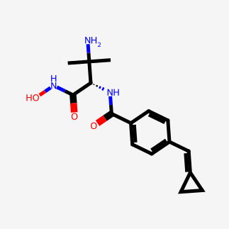 CC(C)(N)[C@H](NC(=O)c1ccc(C=C2CC2)cc1)C(=O)NO